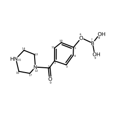 O=C(c1ccc(OB(O)O)cc1)N1CCNCC1